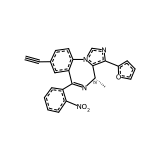 C#Cc1ccc2c(c1)C(c1ccccc1[N+](=O)[O-])=N[C@@H](C)c1c(-c3ccco3)ncn1-2